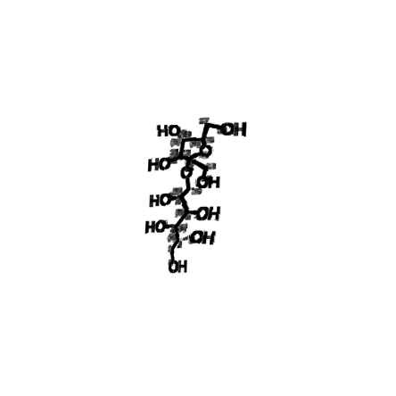 OC[C@@H](O)[C@@H](O)[C@H](O)[C@@H](O)CO[C@@]1(CO)O[C@H](CO)[C@@H](O)[C@@H]1O